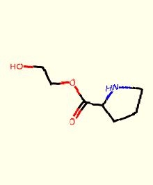 O=C(OCCO)C1CCCN1